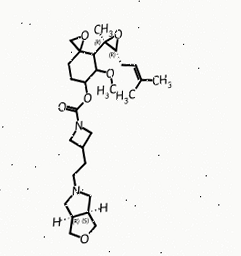 COC1C(OC(=O)N2CC(CCN3C[C@H]4COC[C@H]4C3)C2)CCC2(CO2)C1[C@@]1(C)O[C@@H]1CC=C(C)C